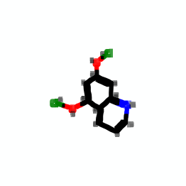 ClOc1cc(OCl)c2cccnc2c1